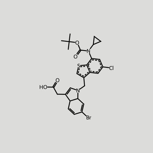 CC(C)(C)OC(=O)N(c1cc(Cl)cc2c(CN3C=C(CC(=O)O)C4C=CC(Br)=CC43)csc12)C1CC1